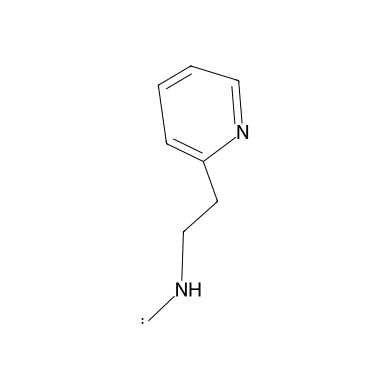 [CH]NCCc1ccccn1